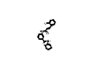 O=C(C=Cc1ccccc1Cl)Nc1cccc(-c2nc3ccccc3[nH]2)c1